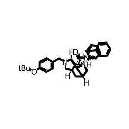 CC(C)(C)Oc1ccc(CN2C[C@@H]3C[C@H]4CN[C@]3(C(=O)NCc3ccccc3)[C@@H]2[C@@H]4Cc2ccccc2)cc1